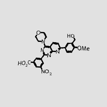 COc1ccc(-c2ccc3c(N4CCOCC4)nc(-c4cc(C(=O)O)cc([N+](=O)[O-])c4)nc3n2)cc1CO